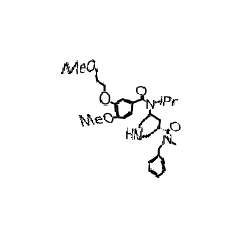 COCCCOc1cc(C(=O)N(C(C)C)C2CNC[C@@H](C(=O)N(C)Cc3ccccc3)C2)ccc1OC